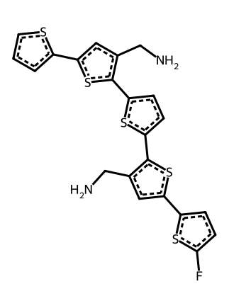 NCc1cc(-c2cccs2)sc1-c1ccc(-c2sc(-c3ccc(F)s3)cc2CN)s1